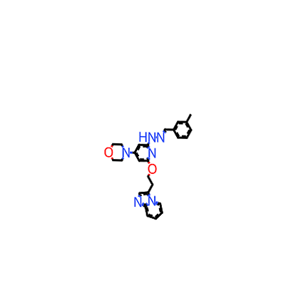 Cc1cccc(/C=N/Nc2cc(N3CCOCC3)cc(OCCc3cnc4ccccn34)n2)c1